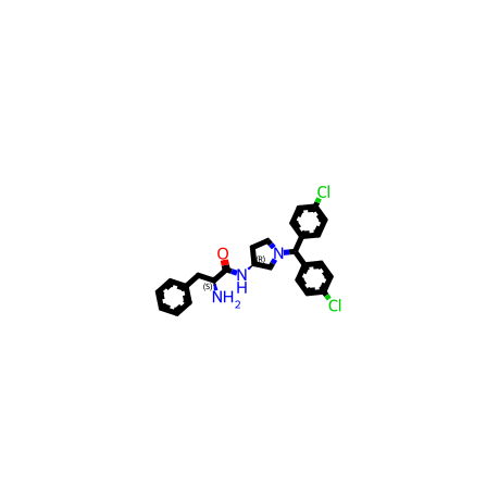 N[C@@H](Cc1ccccc1)C(=O)N[C@@H]1CCN(C(c2ccc(Cl)cc2)c2ccc(Cl)cc2)C1